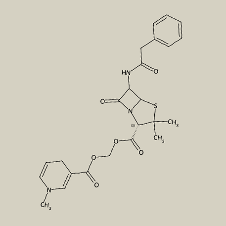 CN1C=CCC(C(=O)OCOC(=O)[C@@H]2N3C(=O)C(NC(=O)Cc4ccccc4)C3SC2(C)C)=C1